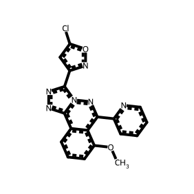 COc1cccc2c1c(-c1ccccn1)nn1c(-c3cc(Cl)on3)nnc21